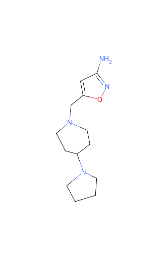 Nc1cc(CN2CCC(N3CCCC3)CC2)on1